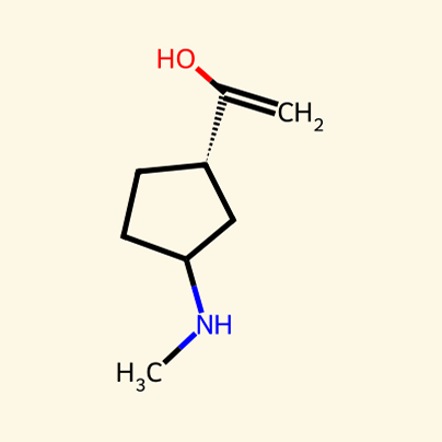 C=C(O)[C@H]1CCC(NC)C1